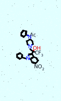 CC(=O)N(c1ccccc1)C1CCN(CC(O)(c2cn(Cc3ccccc3)c3cc([N+](=O)[O-])ccc23)C(F)(F)F)CC1